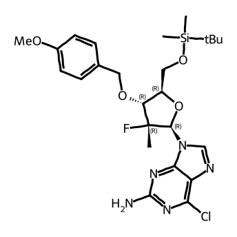 COc1ccc(CO[C@@H]2[C@@H](CO[Si](C)(C)C(C)(C)C)O[C@@H](n3cnc4c(Cl)nc(N)nc43)[C@]2(C)F)cc1